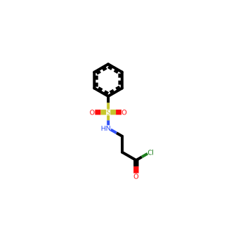 O=C(Cl)CCNS(=O)(=O)c1ccccc1